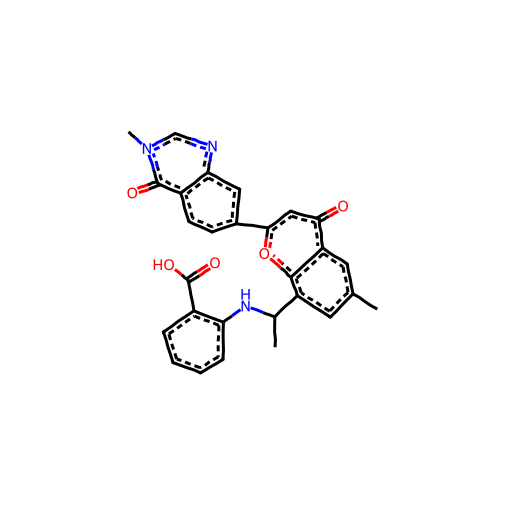 Cc1cc(C(C)Nc2ccccc2C(=O)O)c2oc(-c3ccc4c(=O)n(C)cnc4c3)cc(=O)c2c1